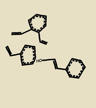 C=Cc1ccccc1.C=Cc1ccccc1C=C.OC=Cc1ccccc1